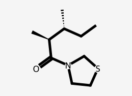 CC[C@@H](C)[C@H](C)C(=O)N1CCSC1